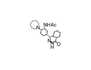 CC(=O)Nc1cc(-c2n[nH]c(=O)c3ccccc23)ccc1N1CCCCCC1